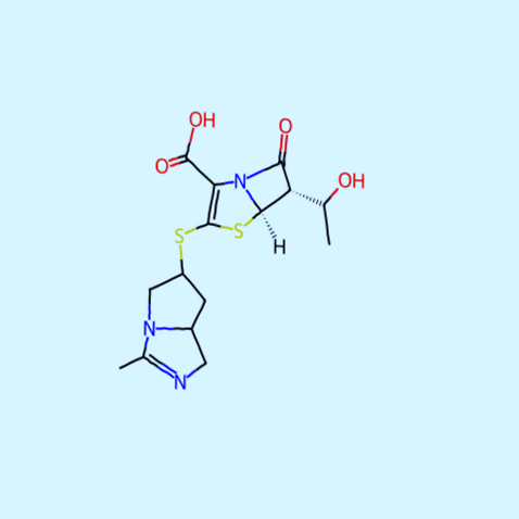 CC1=NCC2CC(SC3=C(C(=O)O)N4C(=O)[C@H](C(C)O)[C@H]4S3)CN12